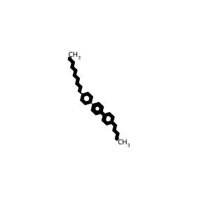 CCCCCCCCCC[C@H]1CC[C@H](c2ccc(C3=CCC(CCCCC)CC3)cc2)CC1